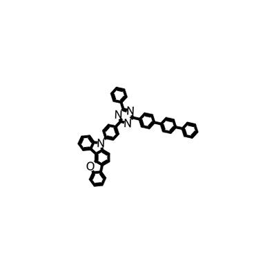 c1ccc(-c2ccc(-c3ccc(-c4nc(-c5ccccc5)nc(-c5ccc(-n6c7ccccc7c7c8oc9ccccc9c8ccc76)cc5)n4)cc3)cc2)cc1